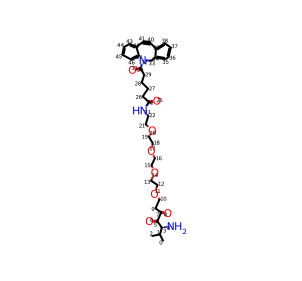 CC(C)[C@H](N)C(=O)C(=O)CCOCCOCCOCCOCCNC(=O)CCCCC(=O)N1Cc2ccccc2C#Cc2ccccc21